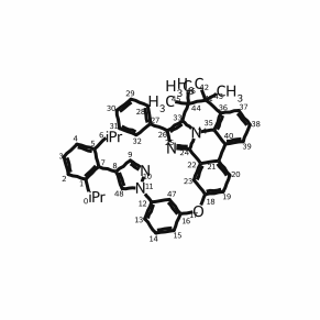 CC(C)c1cccc(C(C)C)c1-c1cnn(-c2cccc(Oc3ccc4c(c3)c3nc(-c5ccccc5)c5n3c3c(cccc43)C(C)(C)C5(C)C)c2)c1